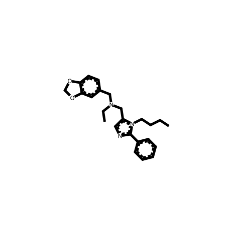 CCCCn1c(CN(CC)Cc2ccc3c(c2)OCO3)cnc1-c1ccccc1